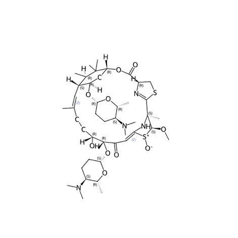 CO[C@H]1[S+]([O-])/C2=C\C(=O)[C@](C)(O[C@H]3CC[C@H](N(C)C)[C@@H](C)O3)[C@H](O)CC/C(C)=C\[C@@H]3[C@@H](C)C(C)(C)[C@@H](C[C@H]3O[C@H]3CC[C@H](N(C)C)[C@@H](C)O3)OC(=O)[C@@H]3CSC(=N3)[C@]1(C)N2